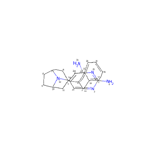 Nc1ncc(C2CC3CCC(C2)N3c2ccc3ccccc3c2)c(N)n1